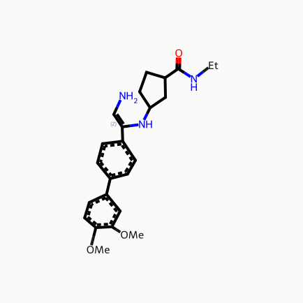 CCNC(=O)C1CCC(N/C(=C\N)c2ccc(-c3ccc(OC)c(OC)c3)cc2)C1